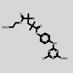 COCCOC(=O)C(C)(Br)CC(C)(C)C(=O)Oc1ccc(Nc2nc(Cl)nc(OC)n2)cc1